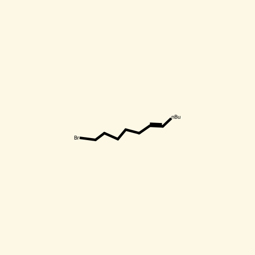 CCCC/C=C/CCCCCBr